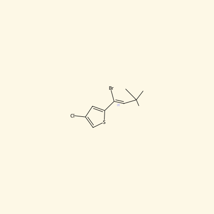 CC(C)(C)/C=C(\Br)c1cc(Cl)cs1